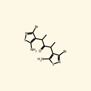 CC(C(=O)C(C)c1c(Br)nsc1N)c1c(Br)nsc1N